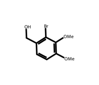 COc1ccc(CO)c(Br)c1OC